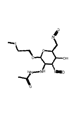 CSCCOC1OC(CN=O)C(O)C(N=O)C1NNC(C)=O